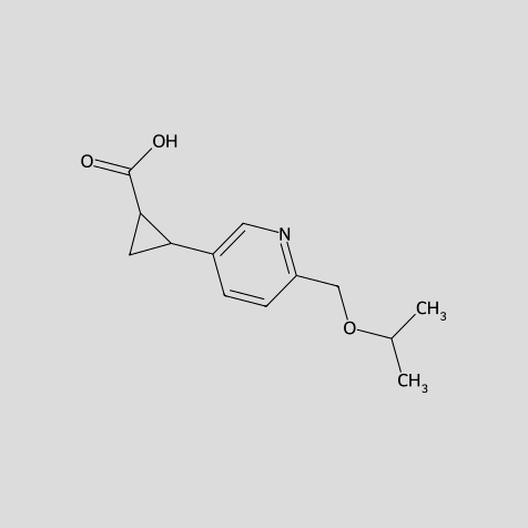 CC(C)OCc1ccc(C2CC2C(=O)O)cn1